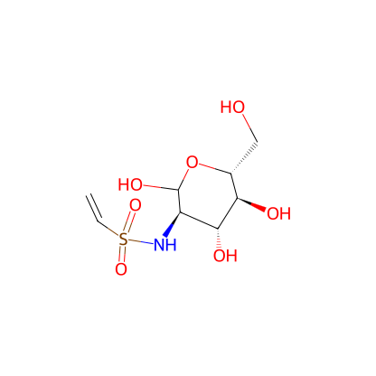 C=CS(=O)(=O)N[C@H]1C(O)O[C@H](CO)[C@@H](O)[C@@H]1O